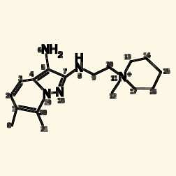 Cc1ccc2c(N)c(NCC[N+]3(C)CCCCC3)nn2c1C